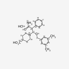 Cc1cc(C)cc(COC(C(C(N)=O)c2ccccc2)N2CCC(C(=O)O)CC2)c1.Cl